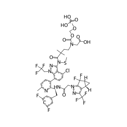 CSN(C(=O)C(C)(C)CCN(CC(=O)O)C(=O)OCOP(=O)(O)O)c1nn(CC(F)(F)F)c2c(-c3ccc(C)nc3[C@H](Cc3cc(F)cc(F)c3)NC(=O)Cn3nc(C(F)(F)F)c4c3C(F)(F)[C@@H]3C[C@H]43)ccc(Cl)c12